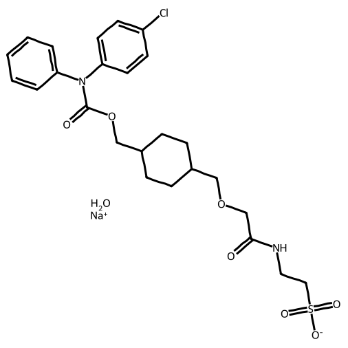 O.O=C(COCC1CCC(COC(=O)N(c2ccccc2)c2ccc(Cl)cc2)CC1)NCCS(=O)(=O)[O-].[Na+]